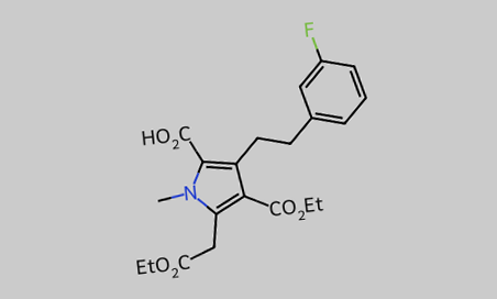 CCOC(=O)Cc1c(C(=O)OCC)c(CCc2cccc(F)c2)c(C(=O)O)n1C